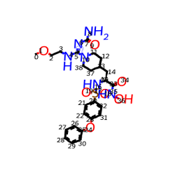 COCCN/C(=N/C(N)=O)N1CCC(C[C@H](NS(=O)(=O)c2ccc(Oc3ccccc3)cc2)C(=O)NO)CC1